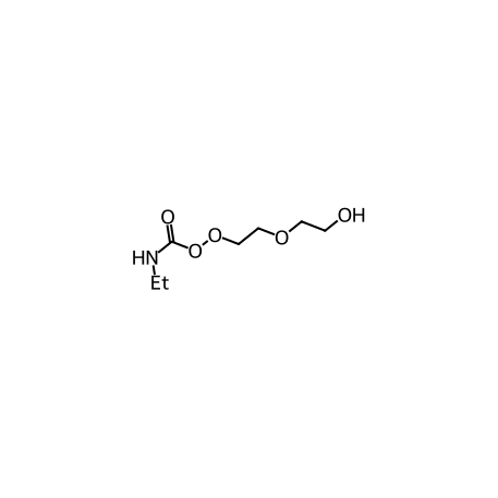 CCNC(=O)OOCCOCCO